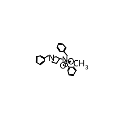 Cc1ccccc1S(=O)(=O)N(Cc1ccccc1)C1CCN(Cc2ccccc2)C1